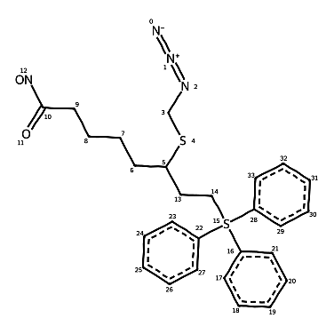 [N-]=[N+]=NCSC(CCCCC(=O)N=O)CCS(c1ccccc1)(c1ccccc1)c1ccccc1